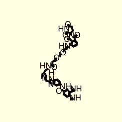 CNc1ccc(C(=O)Nc2ccc3[nH]c(CN4CCC(CCNC(=O)CCOCCOCCNc5cccc6c5C(=O)N(C5CCC(=O)NC5=O)C6=O)C4)nc3c2)cc1C=N